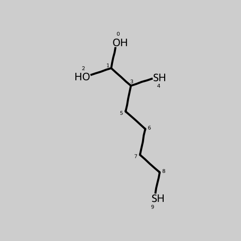 OC(O)C(S)CCCCS